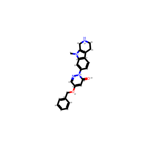 Cn1c2c(c3ccc(-n4ncc(OCc5ccccc5)cc4=O)cc31)CCNC2